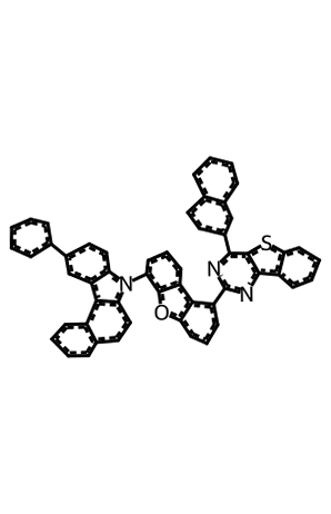 c1ccc(-c2ccc3c(c2)c2c4ccccc4ccc2n3-c2cccc3c2oc2cccc(-c4nc(-c5ccc6ccccc6c5)c5sc6ccccc6c5n4)c23)cc1